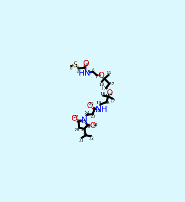 CSCC(=O)NCCOC(C)(C)CCOC(C)(C)CCNC(=O)CCN1C(=O)CC(C(C)C)C1=O